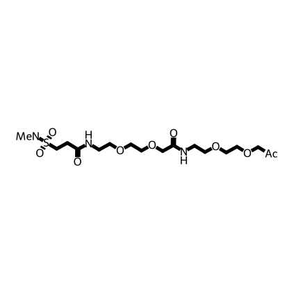 CNS(=O)(=O)CCC(=O)NCCOCCOCC(=O)NCCOCCOCC(C)=O